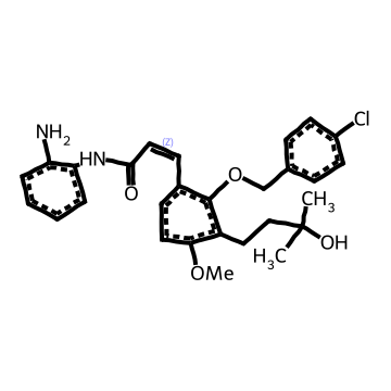 COc1ccc(/C=C\C(=O)Nc2ccccc2N)c(OCc2ccc(Cl)cc2)c1CCC(C)(C)O